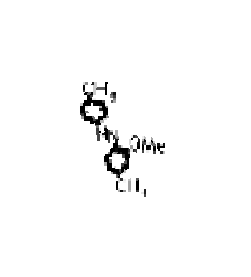 COc1cc(C)ccc1N=Nc1ccc(C)cc1